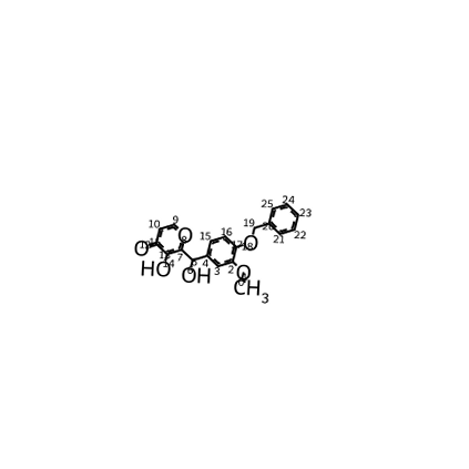 COc1cc(C(O)c2occc(=O)c2O)ccc1OCc1ccccc1